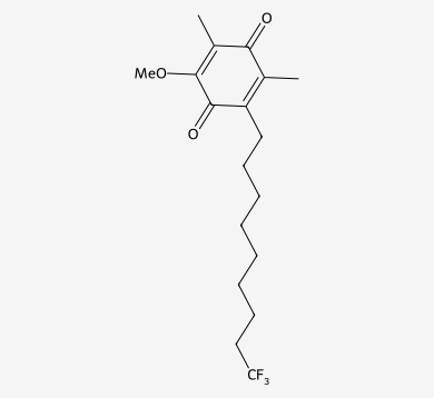 COC1=C(C)C(=O)C(C)=C(CCCCCCCCC(F)(F)F)C1=O